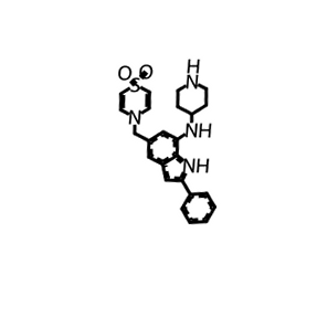 O=S1(=O)C=CN(Cc2cc(NC3CCNCC3)c3[nH]c(-c4ccccc4)cc3c2)C=C1